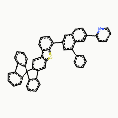 c1ccc(-c2cc(-c3cccc4c3sc3cc5c(cc34)C3(c4ccccc4-c4ccccc43)c3ccccc3-5)cc3ccc(-c4ccccn4)cc23)cc1